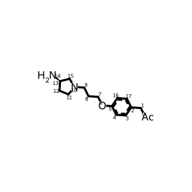 CC(=O)Cc1ccc(OCCCN2CC[C@@H](N)C2)cc1